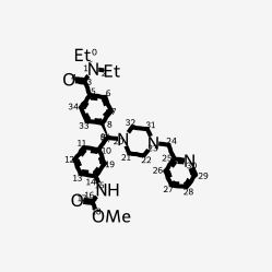 CCN(CC)C(=O)c1ccc([C@H](c2cccc(NC(=O)OC)c2)N2CCN(Cc3ccccn3)CC2)cc1